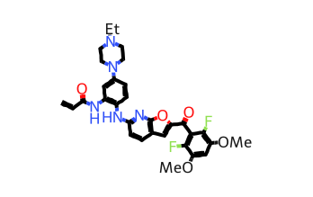 C=CC(=O)Nc1cc(N2CCN(CC)CC2)ccc1Nc1ccc2cc(C(=O)c3c(F)c(OC)cc(OC)c3F)oc2n1